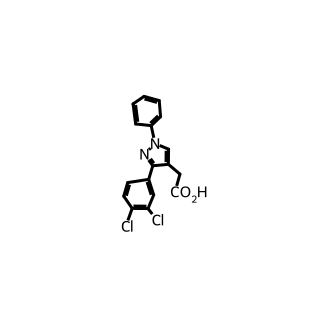 O=C(O)Cc1cn(-c2ccccc2)nc1-c1ccc(Cl)c(Cl)c1